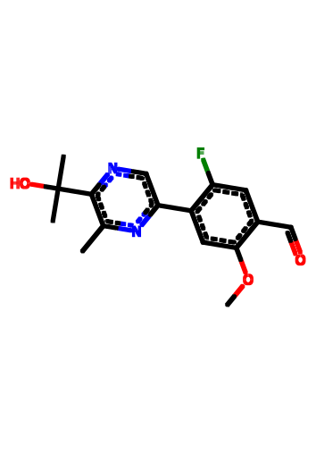 COc1cc(-c2cnc(C(C)(C)O)c(C)n2)c(F)cc1C=O